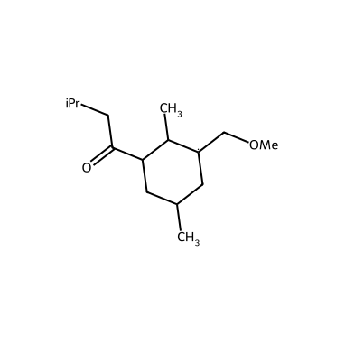 COC[C]1CC(C)CC(C(=O)CC(C)C)C1C